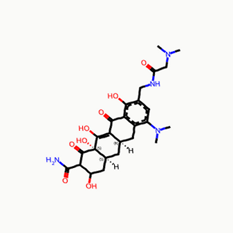 CN(C)CC(=O)NCc1cc(N(C)C)c2c(c1O)C(=O)C1=C(O)[C@]3(O)C(=O)C(C(N)=O)C(O)C[C@@H]3C[C@@H]1C2